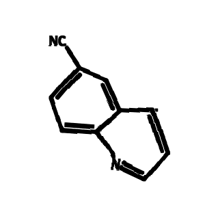 N#Cc1ccc2ncc[c]c2c1